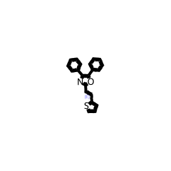 C(=C\c1cccs1)/c1nc(-c2ccccc2)c(-c2ccccc2)o1